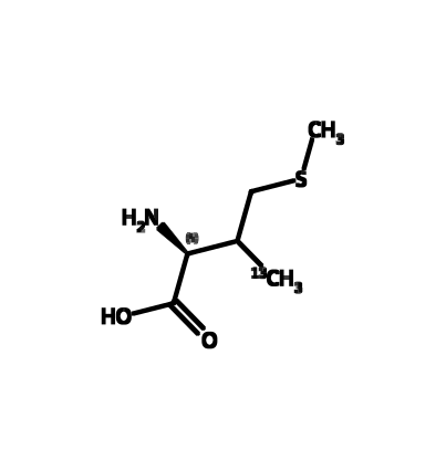 CSCC([13CH3])[C@H](N)C(=O)O